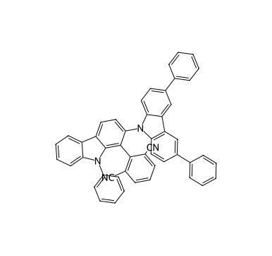 N#Cc1cccc(C#N)c1-c1c(-n2c3ccc(-c4ccccc4)cc3c3cc(-c4ccccc4)ccc32)ccc2c3ccccc3n(-c3ccccc3)c12